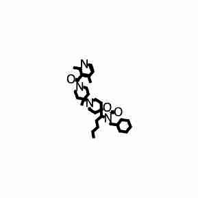 CCCCC1N(CC2CCCCC2)C(=O)OC12CCN(C1(C)CCN(C(=O)c3c(C)ccnc3C)CC1)CC2